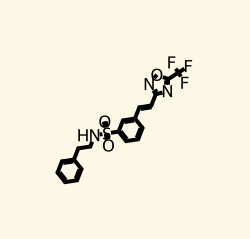 O=S(=O)(NCCc1ccccc1)c1cccc(C=Cc2noc(C(F)(F)F)n2)c1